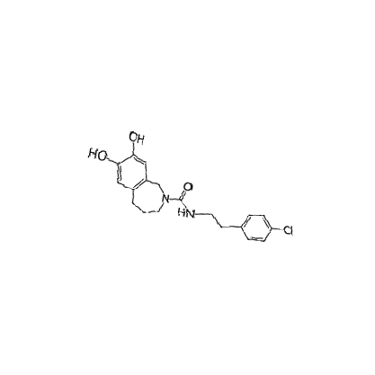 O=C(NCCc1ccc(Cl)cc1)N1CCCc2cc(O)c(O)cc2C1